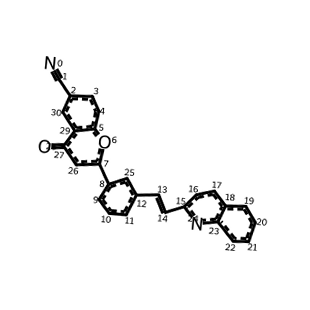 N#Cc1ccc2oc(-c3cccc(C=Cc4ccc5ccccc5n4)c3)cc(=O)c2c1